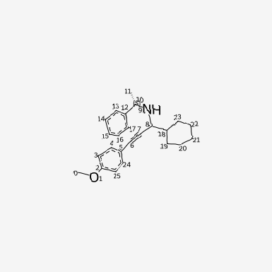 COc1ccc(C#CC(N[C@@H](C)c2ccccc2)C2CCCCC2)cc1